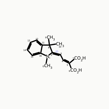 CN1/C(=C\C=C(C(=O)O)C(=O)O)C(C)(C)c2ccccc21